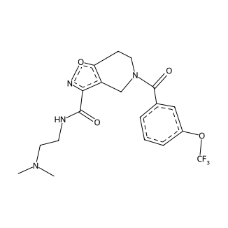 CN(C)CCNC(=O)c1noc2c1CN(C(=O)c1cccc(OC(F)(F)F)c1)CC2